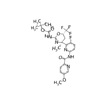 COc1ccc(C(=O)Nc2ccc(F)c([C@]3(C)C[C@@H](C(F)(F)F)OC(NC(=O)OC(C)(C)C)=N3)n2)nc1